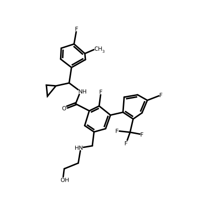 Cc1cc(C(NC(=O)c2cc(CNCCO)cc(-c3ccc(F)cc3C(F)(F)F)c2F)C2CC2)ccc1F